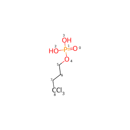 O=P(O)(O)OCCCC(Cl)(Cl)Cl